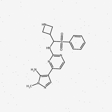 Cn1ncc(-c2ccnc(NC(C3CNC3)S(=O)(=O)c3ccccc3)n2)c1N